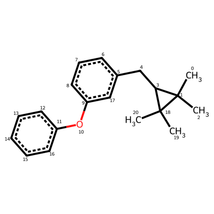 CC1(C)C(Cc2cccc(Oc3ccccc3)c2)C1(C)C